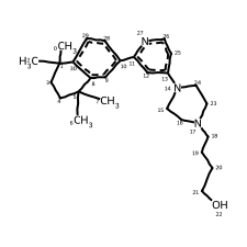 CC1(C)CCC(C)(C)c2cc(-c3cc(N4CCN(CCCCO)CC4)ccn3)ccc21